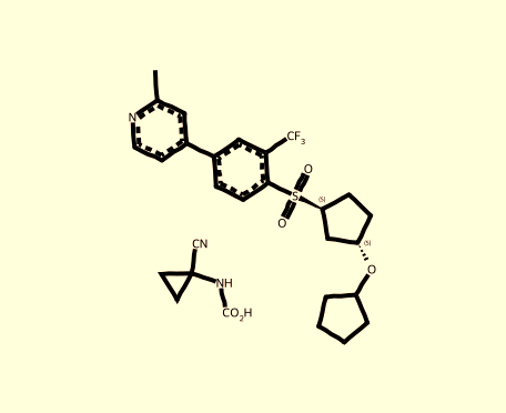 Cc1cc(-c2ccc(S(=O)(=O)[C@H]3CC[C@H](OC4CCCC4)C3)c(C(F)(F)F)c2)ccn1.N#CC1(NC(=O)O)CC1